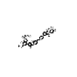 CNC(=O)N1CCc2c(-c3cc(F)c(CN4CCC(CCN5CCN(c6ccc7c(c6)C(=O)N(C6CCC(=O)NC6=O)C7=O)CC5)CC4)c(OC)c3)cn(C)c(=O)c2C1